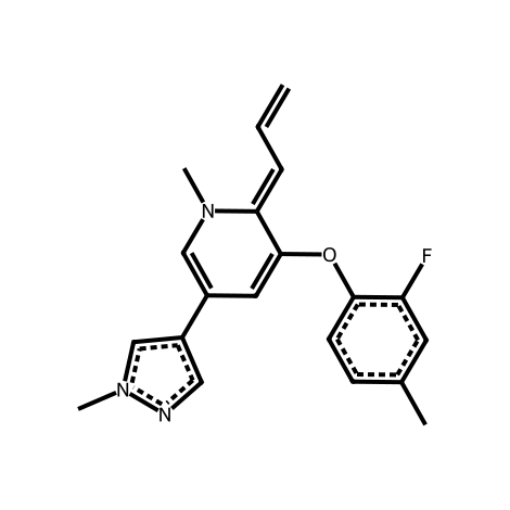 C=C/C=C1/C(Oc2ccc(C)cc2F)=CC(c2cnn(C)c2)=CN1C